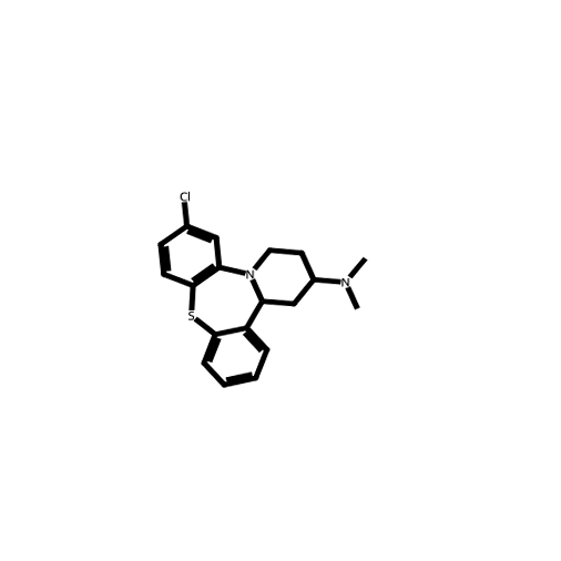 CN(C)C1CCN2c3cc(Cl)ccc3Sc3ccccc3C2C1